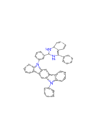 C1=CC2=C(c3ccccc3)NC(c3cccc(-n4c5ccccc5c5cc6c(cc54)c4ccccc4n6-c4ccccc4)c3)NC2C=C1